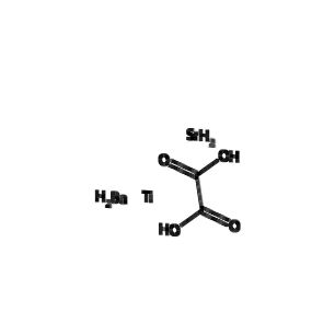 O=C(O)C(=O)O.[BaH2].[SrH2].[Ti]